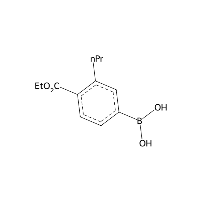 CCCc1cc(B(O)O)ccc1C(=O)OCC